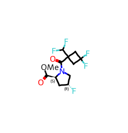 COC(=O)[C@@H]1C[C@@H](F)CN1C(=O)C1(C(F)F)CC(F)(F)C1